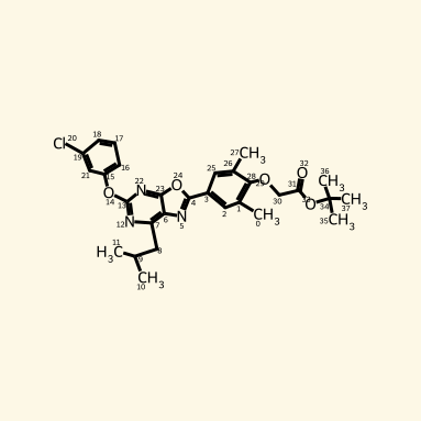 Cc1cc(-c2nc3c(CC(C)C)nc(Oc4cccc(Cl)c4)nc3o2)cc(C)c1OCC(=O)OC(C)(C)C